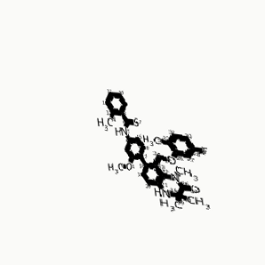 COc1cc(NC(=S)c2ccccc2C)ccc1-c1ccc2c(c1COc1cc(F)ccc1C)N(C)C(=O)C(C)(C)N2